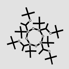 CC(OC(C)(C)C)[Si]1(C(C)(C)C)O[Si](C(C)OC(C)(C)C)(C(C)(C)C)O[Si](C(C)OC(C)(C)C)(C(C)(C)C)O[Si](C(C)OC(C)(C)C)(C(C)(C)C)O1